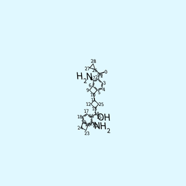 C[C@@H](c1ccc2c(c1N)CC2C1CC(C(O)c2ccc3c(c2N)CC3)C1)C1CC1